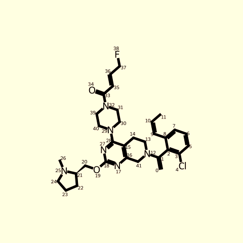 C=C(c1c(Cl)cccc1/C=C\C)N1CCc2c(nc(OC[C@H]3CCCN3C)nc2N2CCN(C(=O)/C=C/CF)CC2)C1